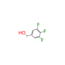 O[CH]c1cc(F)c(F)c(F)c1